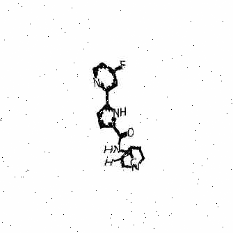 O=C(N[C@H]1CN2CCC1CC2)c1ccc(-c2cc(F)ccn2)[nH]1